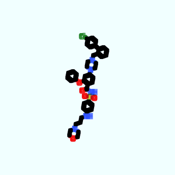 O=C(NS(=O)(=O)c1ccc(NCCCN2CCOCC2)cc1)c1ccc(N2CCN(Cc3ccccc3-c3ccc(Cl)cc3)CC2)cc1Oc1ccccc1